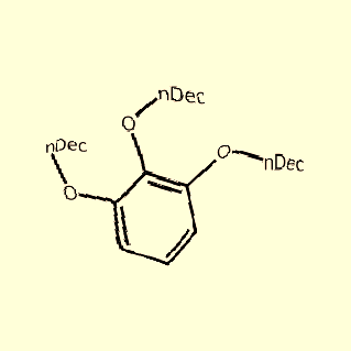 CCCCCCCCCCOc1cccc(OCCCCCCCCCC)c1OCCCCCCCCCC